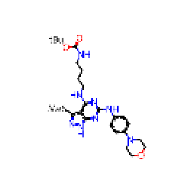 CSc1n[nH]c2nc(Nc3ccc(N4CCOCC4)cc3)nc(NCCCCNC(=O)OC(C)(C)C)c12